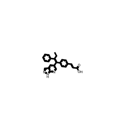 CCC(=C(c1ccc(C=CC(=O)O)cc1)c1cnc2[nH]ncc2c1)c1ccccc1